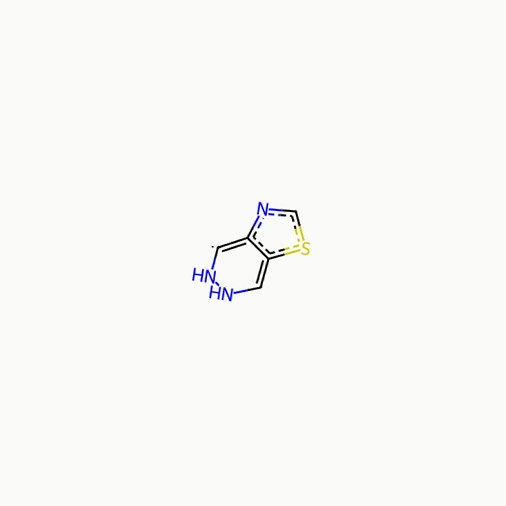 [C]1=c2ncsc2=CNN1